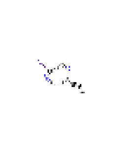 Bc1cnc(I)cn1